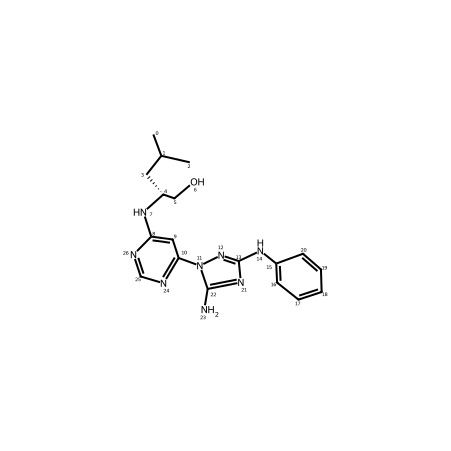 CC(C)C[C@H](CO)Nc1cc(-n2nc(Nc3ccccc3)nc2N)ncn1